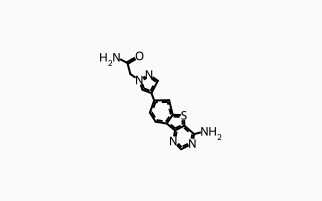 NC(=O)Cn1cc(-c2ccc3c(c2)sc2c(N)ncnc23)cn1